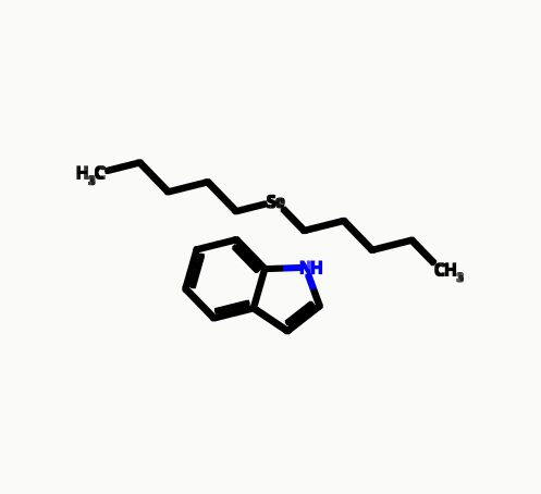 CCCCC[Se]CCCCC.c1ccc2[nH]ccc2c1